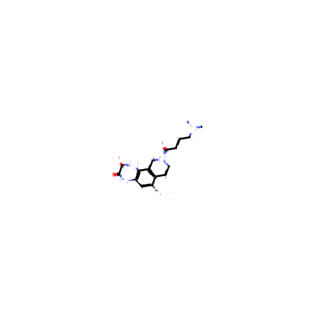 CN(C)CCCC(=O)N1CCc2c([N+](=O)[O-])cc3[nH]c(=O)c(=O)[nH]c3c2C1